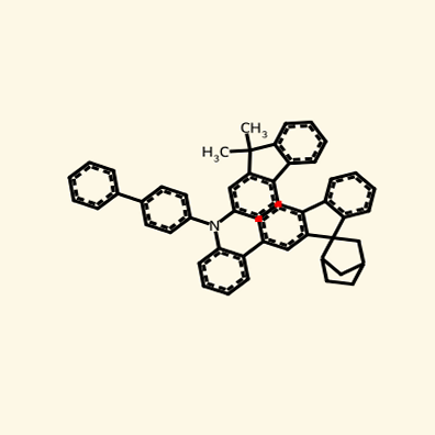 CC1(C)c2ccccc2-c2ccc(N(c3ccc(-c4ccccc4)cc3)c3ccccc3-c3ccc4c(c3)C3(CC5CCC3C5)c3ccccc3-4)cc21